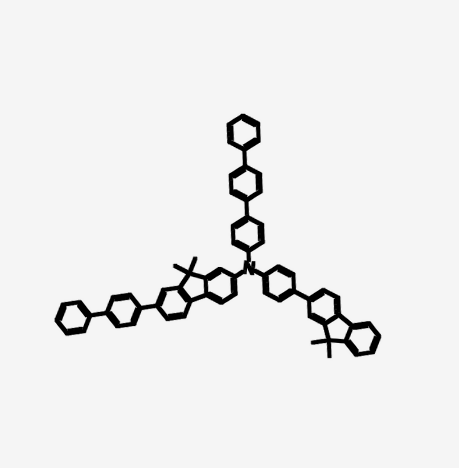 CC1(C)c2ccccc2-c2ccc(-c3ccc(N(c4ccc(-c5ccc(-c6ccccc6)cc5)cc4)c4ccc5c(c4)C(C)(C)c4cc(-c6ccc(-c7ccccc7)cc6)ccc4-5)cc3)cc21